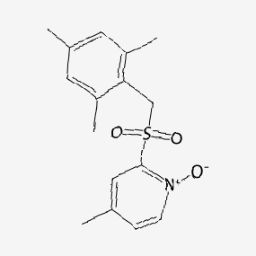 Cc1cc(C)c(CS(=O)(=O)c2cc(C)cc[n+]2[O-])c(C)c1